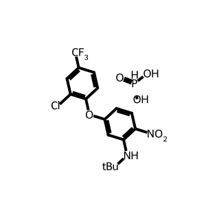 CC(C)(C)Nc1cc(Oc2ccc(C(F)(F)F)cc2Cl)ccc1[N+](=O)[O-].O=[PH](O)O